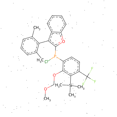 COCOc1c(P(Cl)c2oc3ccccc3c2-c2c(C)cccc2C)ccc(C(F)(F)F)c1[Si](C)(C)C